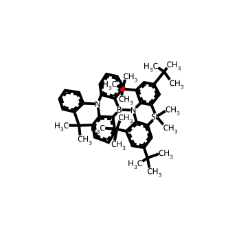 CC(C)(C)c1cc(C(C)(C)C)c2c(c1)[Si](C)(C)c1cc(C(C)(C)C)cc(C(C)(C)C)c1N2B1c2ccccc2N2c3ccccc3C(C)(C)c3cccc1c32